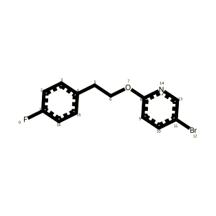 Fc1ccc(CCOc2ccc(Br)cn2)cc1